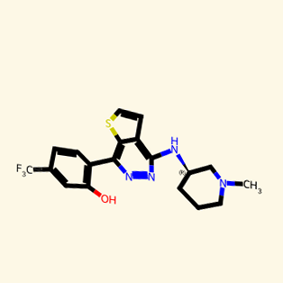 CN1CCC[C@@H](Nc2nnc(-c3ccc(C(F)(F)F)cc3O)c3sccc23)C1